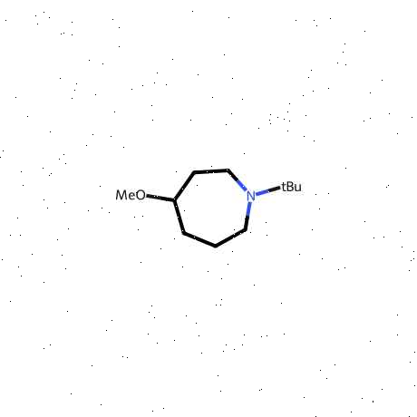 COC1CCCN(C(C)(C)C)CC1